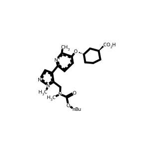 CCCCOC(=O)N(C)Cc1c(-c2ccc(O[C@H]3CCC[C@H](C(=O)O)C3)c(C)n2)cnn1C